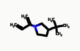 C=CC(=C)N1CCC(C(C)(C)C)C1